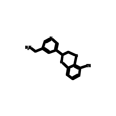 N#Cc1cccc2c1OCC(c1cncc(CN)c1)O2